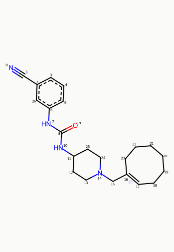 N#Cc1cccc(NC(=O)NC2CCN(C/C3=C/CCCCCC3)CC2)c1